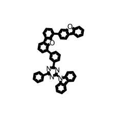 c1ccc(-c2nc(-c3cccc(-c4cccc5c4oc4c(-c6ccc7c(c6)oc6ccccc67)cccc45)c3)nc(-n3c4ccccc4c4ccccc43)n2)cc1